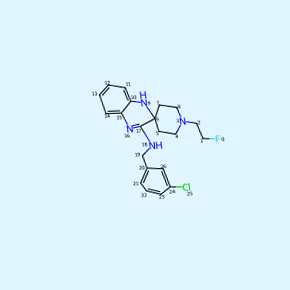 FCCN1CCC2(CC1)Nc1ccccc1N=C2NCc1cccc(Cl)c1